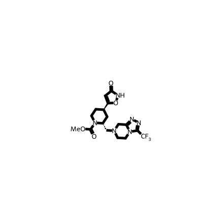 COC(=O)N1CC[C@@H](c2cc(=O)[nH]o2)C[C@@H]1CN1CCn2c(nnc2C(F)(F)F)C1